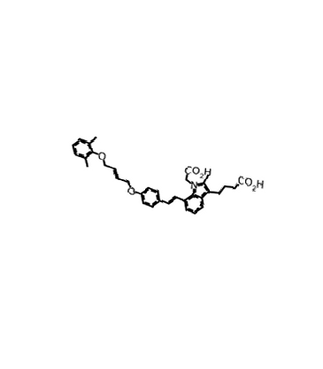 Cc1cccc(C)c1OCC=CCOc1ccc(C=Cc2cccc3c(CCCC(=O)O)c(C)n(CC(=O)O)c23)cc1